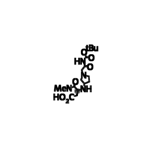 CNC(=O)[C@H](CC(=O)O)NC1CCN(CC(=O)NC(=O)OC(C)(C)C)C1